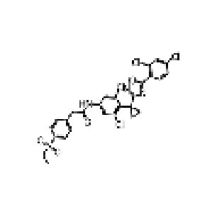 CCS(=O)(=O)c1ccc(CC(=O)Nc2cc(Cl)c(C3(c4noc(-c5ccc(Cl)cc5Cl)n4)CC3)c(Cl)c2)cc1